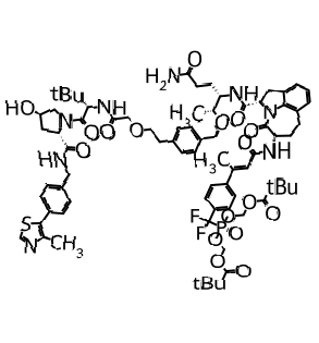 C/C(=C\C(=O)N[C@H]1CCc2cccc3c2N(C1=O)[C@H](C(=O)N[C@@H](CCC(N)=O)[C@@H](C)OCc1ccc(CCOCC(=O)N[C@H](C(=O)N2C[C@H](O)C[C@H]2C(=O)NCc2ccc(-c4scnc4C)cc2)C(C)(C)C)cc1)C3)c1ccc(C(F)(F)P(=O)(OCOC(=O)C(C)(C)C)OCOC(=O)C(C)(C)C)cc1